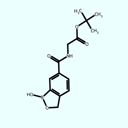 CC(C)(C)OC(=O)CNC(=O)c1ccc2c(c1)B(O)OC2